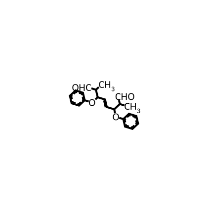 CC(C=O)C(C=CC(Oc1ccccc1)C(C)C=O)Oc1ccccc1